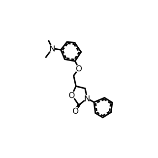 CN(C)c1cccc(OCC2CN(c3ccccc3)C(=O)O2)c1